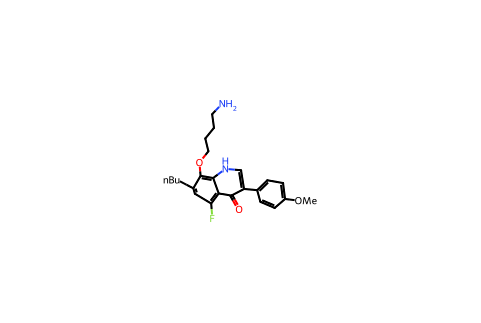 CCCCc1cc(F)c2c(=O)c(-c3ccc(OC)cc3)c[nH]c2c1OCCCCN